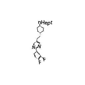 CCCCCCC[C@H]1CC[C@H](CCc2cnc(-c3ccc(F)c(F)c3)nc2)CC1